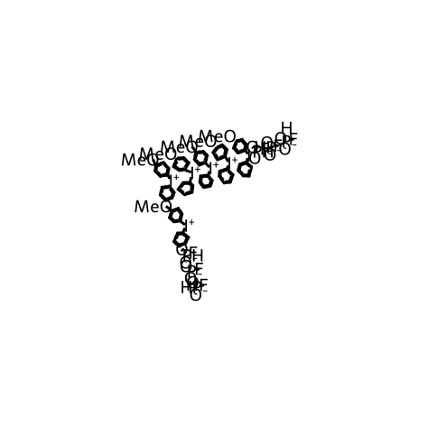 COc1ccc([I+]c2ccccc2)cc1.COc1ccc([I+]c2ccccc2)cc1.COc1ccc([I+]c2ccccc2)cc1.COc1ccc([I+]c2ccccc2)cc1.COc1ccc([I+]c2ccccc2)cc1.COc1ccc([I+]c2ccccc2)cc1.O=[PH]([O-])F.O=[PH]([O-])F.O=[PH]([O-])F.O=[PH]([O-])F.O=[PH]([O-])F.O=[PH]([O-])F